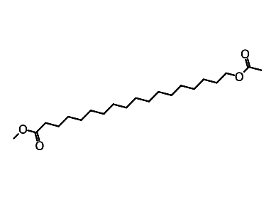 COC(=O)CCCCCCCCCCCCCCCCCOC(C)=O